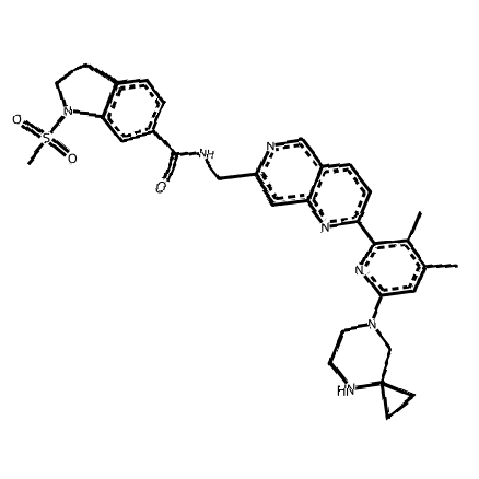 Cc1cc(N2CCNC3(CC3)C2)nc(-c2ccc3cnc(CNC(=O)c4ccc5c(c4)N(S(C)(=O)=O)CC5)cc3n2)c1C